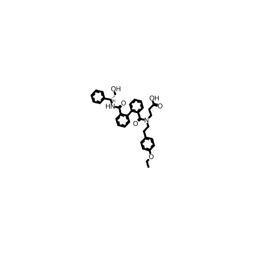 CCOc1ccc(CCN(CCC(=O)O)C(=O)c2ccccc2-c2ccccc2C(=O)N[C@@H](CO)c2ccccc2)cc1